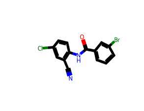 N#Cc1cc(Cl)ccc1NC(=O)c1cccc(Br)c1